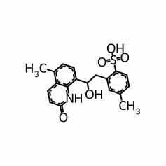 Cc1ccc(S(=O)(=O)O)c(CC(O)c2ccc(C)c3ccc(=O)[nH]c23)c1